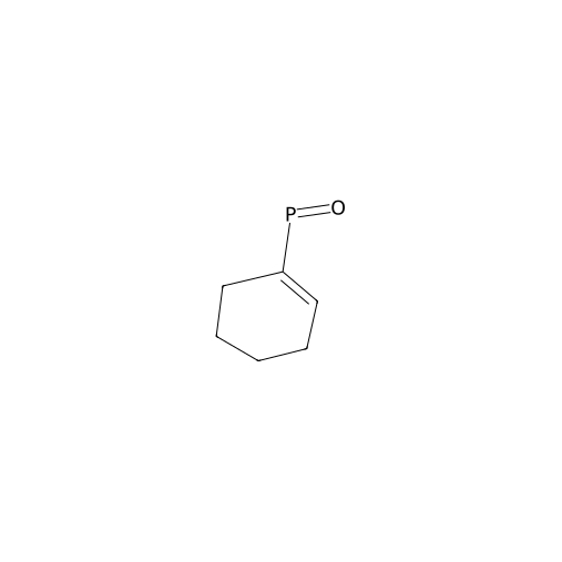 O=PC1=CCCCC1